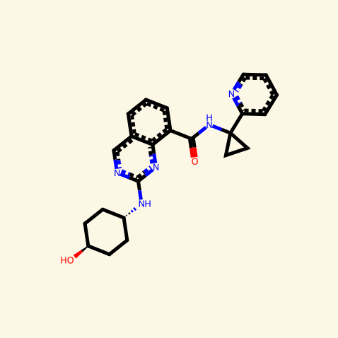 O=C(NC1(c2ccccn2)CC1)c1cccc2cnc(N[C@H]3CC[C@H](O)CC3)nc12